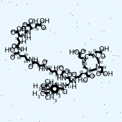 CC(C)(C)[Si](F)(c1ccc(C(=O)NC[C@H](NC(=O)CC[C@H](C(=O)O)N2CCN(CC(=O)O)CCN(CC(=O)O)CCN(CC(=O)O)CC2)C(=O)N[C@H](CCCCNC(=O)CCC(=O)NCCC[C@H](NC(=O)CC[C@H](NC(=O)N[C@@H](CCC(=O)O)C(=O)O)C(=O)O)C(=O)O)C(=O)O)cc1)C(C)(C)C